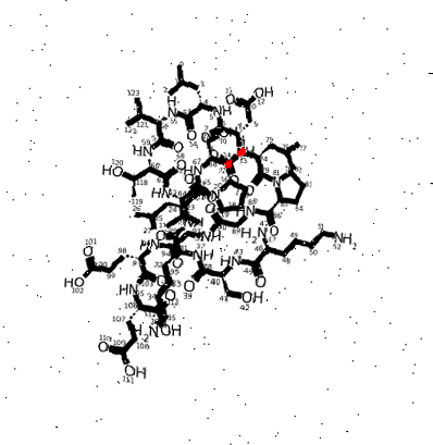 CC(C)C[C@H](NC(=O)[C@H](CC(=O)O)NC(=O)[C@@H]1CCCN1C(=O)[C@H](CC(C)C)NC(=O)[C@H](CCCCN)NC(=O)[C@H](CO)NC(=O)[C@@H](N)CCCCN)C(=O)N[C@H](C(=O)N[C@H](C(=O)N[C@H](C(=O)N[C@@H](CO)C(=O)N[C@@H](CC(C)C)C(=O)N1CCC[C@H]1C(=O)NCC(=O)NCC(=O)N[C@@H](CCC(=O)O)C(=O)N[C@@H](CCC(=O)O)C(=O)O)C(C)C)[C@@H](C)O)C(C)C